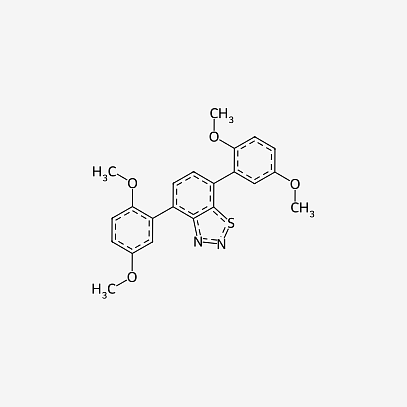 COc1ccc(OC)c(-c2ccc(-c3cc(OC)ccc3OC)c3snnc23)c1